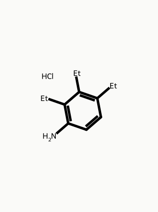 CCc1ccc(N)c(CC)c1CC.Cl